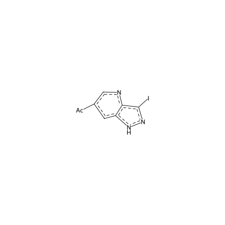 [CH2]C(=O)c1cnc2c(I)n[nH]c2c1